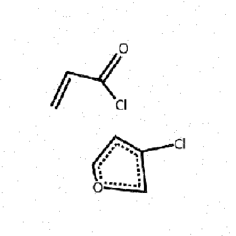 C=CC(=O)Cl.Clc1ccoc1